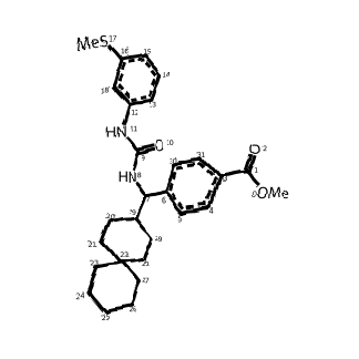 COC(=O)c1ccc(C(NC(=O)Nc2cccc(SC)c2)C2CCC3(CCCCC3)CC2)cc1